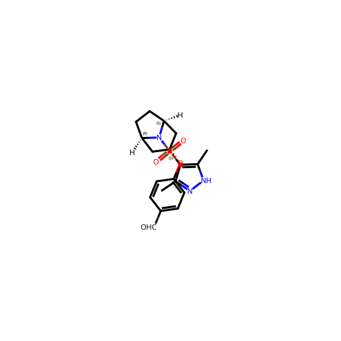 Cc1n[nH]c(C)c1S(=O)(=O)N1[C@@H]2CC[C@H]1C[C@H](Oc1ccc(C=O)cc1)C2